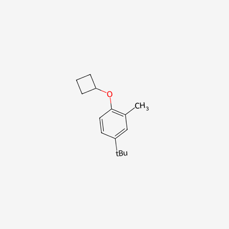 Cc1cc(C(C)(C)C)ccc1OC1CCC1